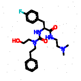 CN(C)CCNC(=O)[C@H](Cc1ccc(F)cc1)NC(=O)N(CCO)CCc1ccccc1